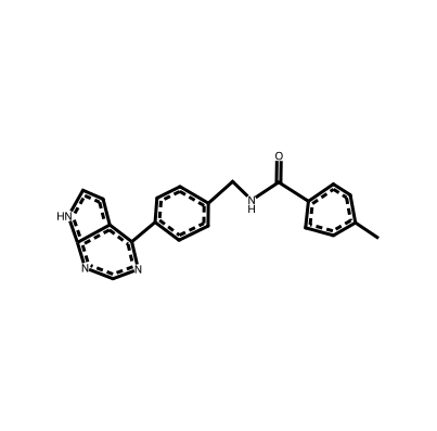 Cc1ccc(C(=O)NCc2ccc(-c3ncnc4[nH]ccc34)cc2)cc1